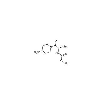 CC(C)(C)OC(=O)N[C@@H](C(=O)N1CCC(N)CC1)C(C)(C)C